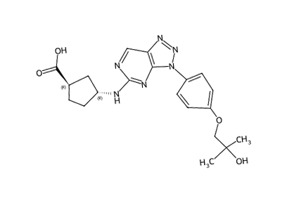 CC(C)(O)COc1ccc(-n2nnc3cnc(N[C@@H]4CC[C@@H](C(=O)O)C4)nc32)cc1